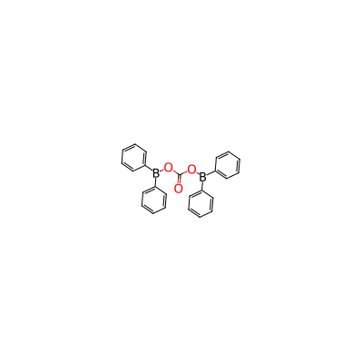 O=C(OB(c1ccccc1)c1ccccc1)OB(c1ccccc1)c1ccccc1